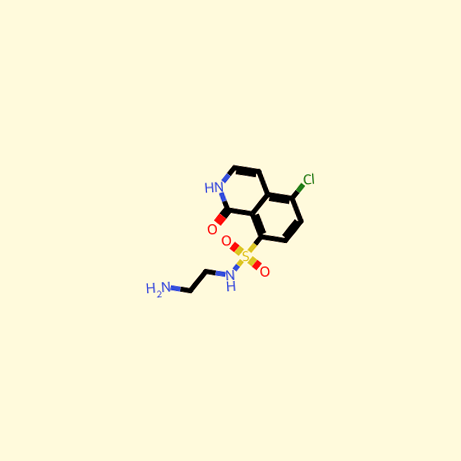 NCCNS(=O)(=O)c1ccc(Cl)c2cc[nH]c(=O)c12